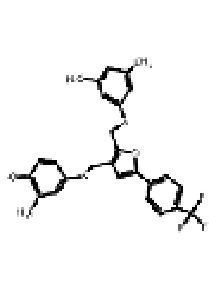 Cc1cc(C)cc(SCc2oc(-c3ccc(C(F)(F)F)cc3)cc2CSc2ccc([O])c(C)c2)c1